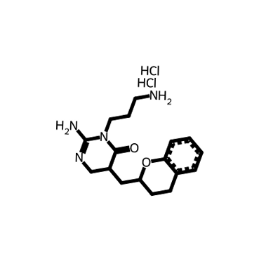 Cl.Cl.NCCCN1C(=O)C(CC2CCc3ccccc3O2)CN=C1N